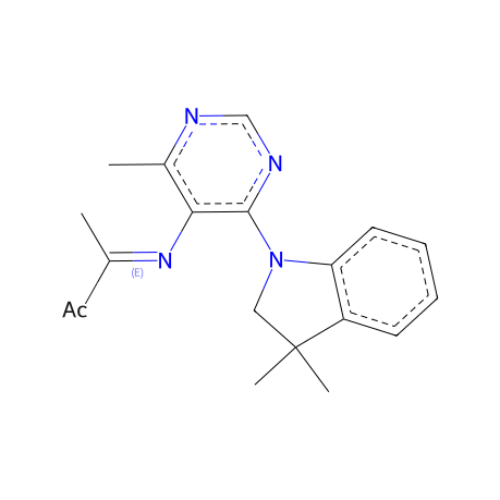 CC(=O)/C(C)=N/c1c(C)ncnc1N1CC(C)(C)c2ccccc21